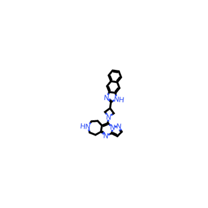 c1ccc2cc3[nH]c(C4CN(c5c6c(nc7ccnn57)CCNCC6)C4)nc3cc2c1